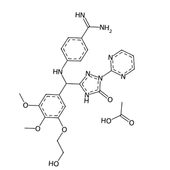 CC(=O)O.COc1cc(C(Nc2ccc(C(=N)N)cc2)c2nn(-c3ncccn3)c(=O)[nH]2)cc(OCCO)c1OC